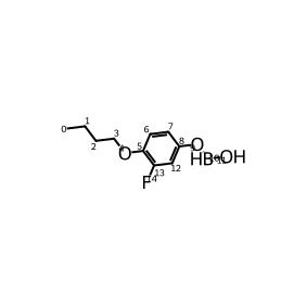 CCCCOc1ccc(OBO)cc1F